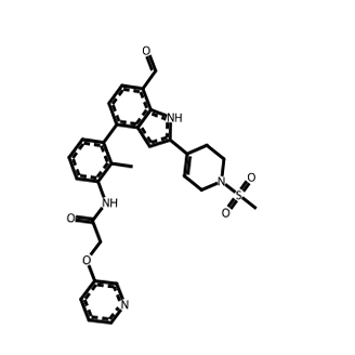 Cc1c(NC(=O)COc2cccnc2)cccc1-c1ccc(C=O)c2[nH]c(C3=CCN(S(C)(=O)=O)CC3)cc12